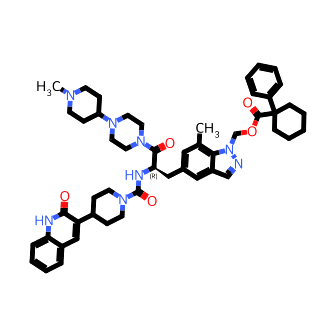 Cc1cc(C[C@@H](NC(=O)N2CCC(c3cc4ccccc4[nH]c3=O)CC2)C(=O)N2CCN(C3CCN(C)CC3)CC2)cc2cnn(COC(=O)C3(c4ccccc4)CCCCC3)c12